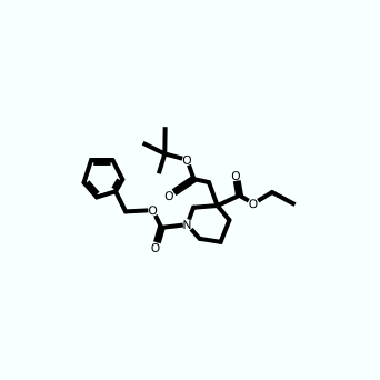 CCOC(=O)C1(CC(=O)OC(C)(C)C)CCCN(C(=O)OCc2ccccc2)C1